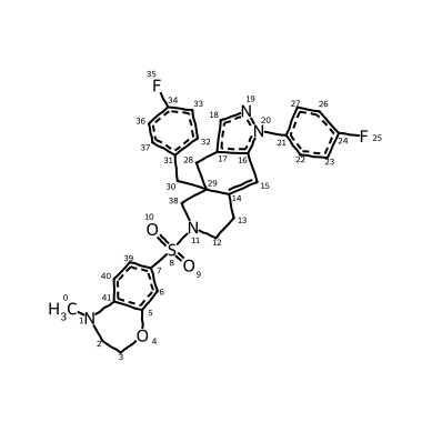 CN1CCOc2cc(S(=O)(=O)N3CCC4=Cc5c(cnn5-c5ccc(F)cc5)CC4(Cc4ccc(F)cc4)C3)ccc21